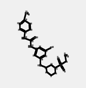 CCS(=O)(=O)N1CCCC(Oc2cc(F)cc(NC(=O)Nc3ccc(C)nc3)c2)C1